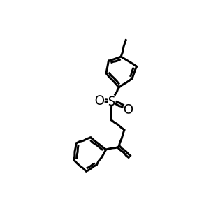 C=C(CCS(=O)(=O)c1ccc(C)cc1)c1ccccc1